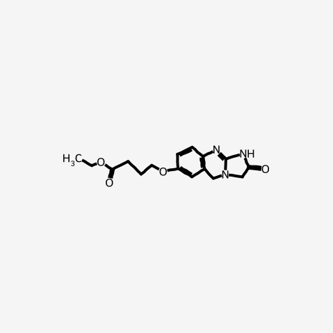 CCOC(=O)CCCOc1ccc2c(c1)CN1CC(=O)NC1=N2